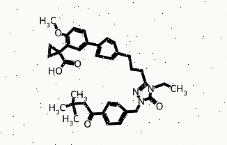 CCn1c(CCCc2ccc(-c3ccc(OC)c(C4(C(=O)O)CC4)c3)cc2)nn(Cc2ccc(C(=O)CC(C)(C)C)cc2)c1=O